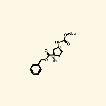 CC(C)[C@]1(C(=O)OCc2ccccc2)CC[C@@H](NC(=O)OC(C)(C)C)C1